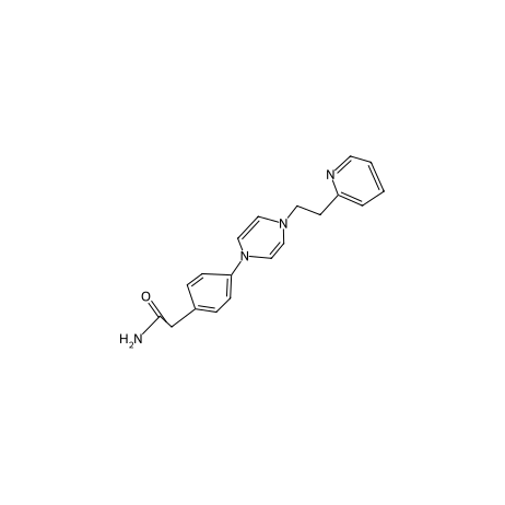 NC(=O)Cc1ccc(N2C=CN(CCc3ccccn3)C=C2)cc1